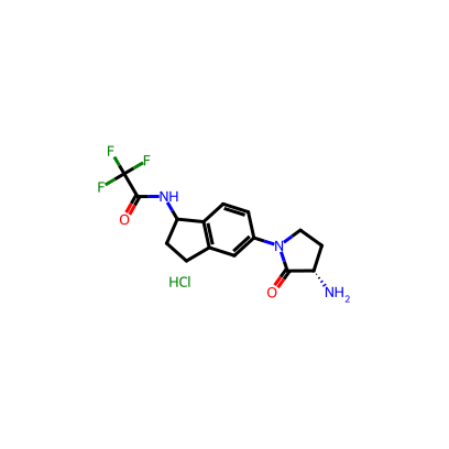 Cl.N[C@H]1CCN(c2ccc3c(c2)CCC3NC(=O)C(F)(F)F)C1=O